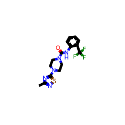 Cc1nsc(N2CCN(C(=O)Nc3ccccc3C(F)(F)F)CC2)n1